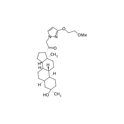 COCCOc1ccn(CC(=O)[C@H]2CC[C@H]3[C@@H]4CC[C@@H]5C[C@](C)(O)CC[C@@H]5[C@H]4CC[C@]23C)n1